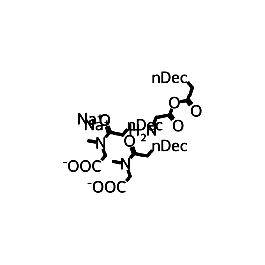 CCCCCCCCCCCC(=O)N(C)CC(=O)[O-].CCCCCCCCCCCC(=O)N(C)CC(=O)[O-].CCCCCCCCCCCC(=O)OC(=O)CN.[Na+].[Na+]